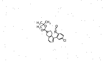 CC(C)(C)OC(=O)N1CCc2c(cccc2-c2cc(Cl)ccc2N=C=O)C1